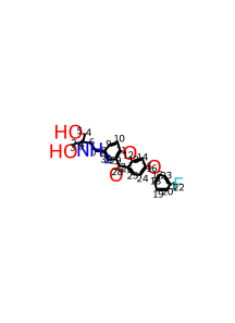 NC(CO)(CO)CCc1ccc2oc3cc(Oc4cccc(F)c4)ccc3c(=O)c2c1